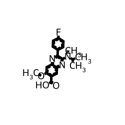 COc1cc2nc(-c3ccc(F)cc3)c(N(C)C(C)C)nc2cc1C(=O)O